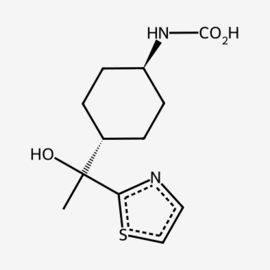 CC(O)(c1nccs1)[C@H]1CC[C@H](NC(=O)O)CC1